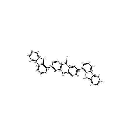 O=c1c2ccc(-c3cccc4c3sc3ccccc34)cc2oc2ccc(-c3cccc4c3sc3ccccc34)cc12